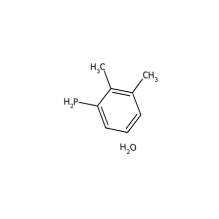 Cc1cccc(P)c1C.O